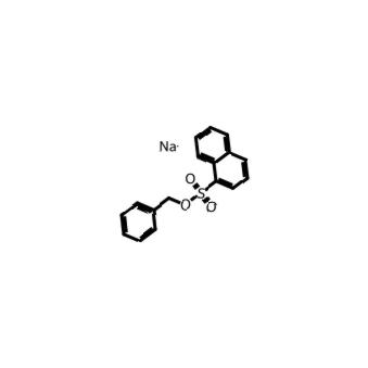 O=S(=O)(OCc1ccccc1)c1cccc2ccccc12.[Na]